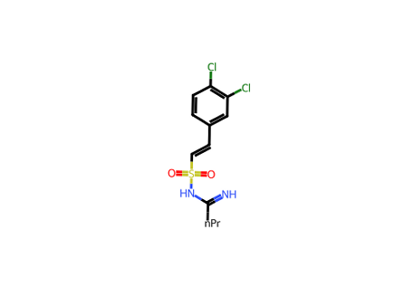 CCCC(=N)NS(=O)(=O)C=Cc1ccc(Cl)c(Cl)c1